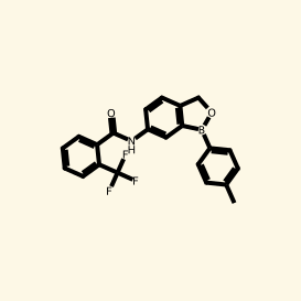 Cc1ccc(B2OCc3ccc(NC(=O)c4ccccc4C(F)(F)F)cc32)cc1